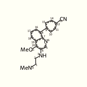 CNCCNc1cnc2c(-c3ccc(C#N)cc3)cccc2c1OC